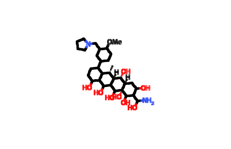 COC1CCC(C2CCC(O)C3C(O)C4C(O)[C@]5(O)C(O)C(C(N)O)C(O)C[C@@H]5[C@@H](O)[C@@H]4[C@@H](C)C23)CC1CN1CCCC1